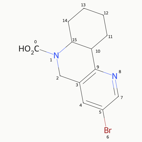 O=C(O)N1Cc2cc(Br)cnc2C2CCCCC21